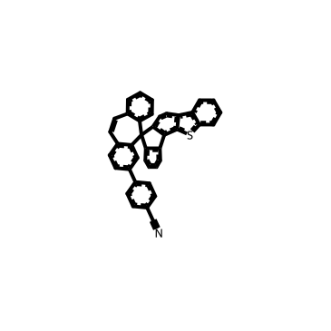 N#Cc1ccc(-c2ccc3c(c2)C2(c4ccccc4C=C3)c3ccccc3-c3c2ccc2c3sc3ccccc32)cc1